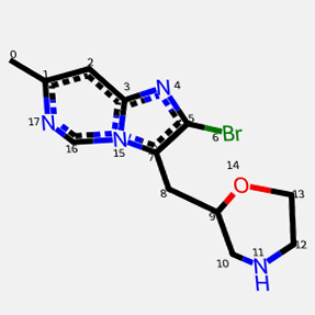 Cc1cc2nc(Br)c(CC3CNCCO3)n2cn1